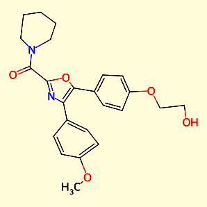 COc1ccc(-c2nc(C(=O)N3CCCCC3)oc2-c2ccc(OCCO)cc2)cc1